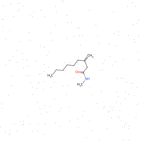 C=C(CCCCCC)CC(=O)NC